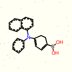 OB(O)C1=CC=C(N(c2ccccc2)c2cccc3ccccc23)CC1